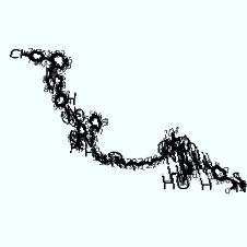 Cc1ncsc1-c1ccc([C@H](C)NC(=O)[C@@H]2C[C@@H](O)CN2C(=O)[C@@H](NC(=O)CCCCCCCC(=O)N[C@H]2CCN(CC[C@H](CSc3ccccc3)Nc3ccc(S(=O)(=O)NC(=O)c4ccc(N5CCN(CC6=C(c7ccc(Cl)cc7)CCC(C)(C)C6)CC5)cc4)cc3S(=O)(=O)C(F)(F)F)C2)C(C)(C)C)cc1